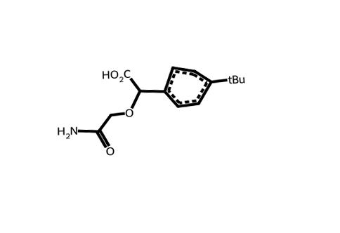 CC(C)(C)c1ccc(C(OCC(N)=O)C(=O)O)cc1